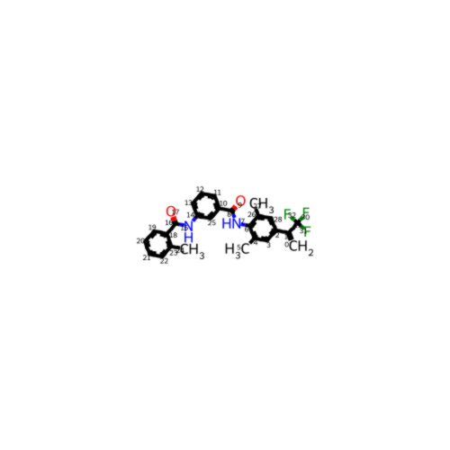 C=C(c1cc(C)c(NC(=O)c2cccc(NC(=O)c3ccccc3C)c2)c(C)c1)C(F)(F)F